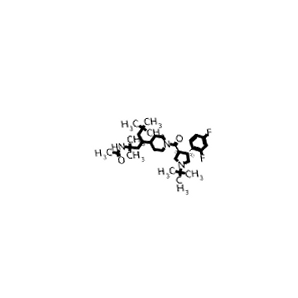 CC(=O)NC(C)(C)CC(CC(C)(C)C)C1CCN(C(=O)[C@@H]2CN(C(C)(C)C)C[C@H]2c2ccc(F)cc2F)CC1